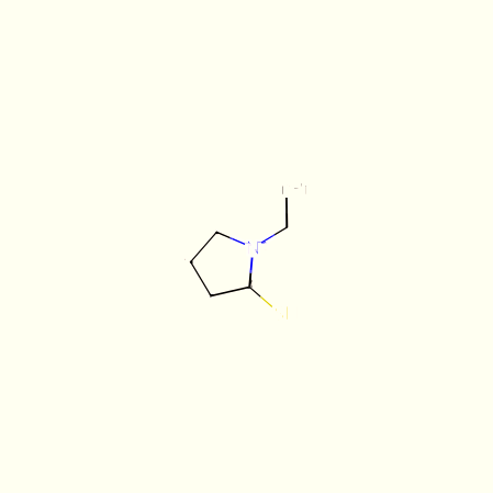 CCCCN1CCCC1S